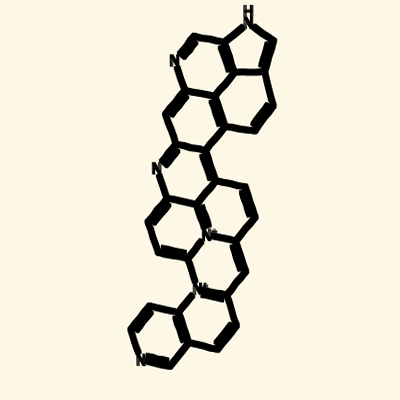 c1cc2c(ccc3cc4ccc5c6c(cc7ncc8[nH]cc9ccc6c7c98)nc6ccc([n+]32)[n+]4c65)cn1